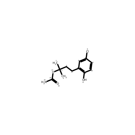 CC(C)(CCc1cc(Cl)ccc1O)OC(N)=O